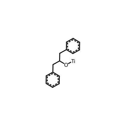 [Ti][O]C(Cc1ccccc1)Cc1ccccc1